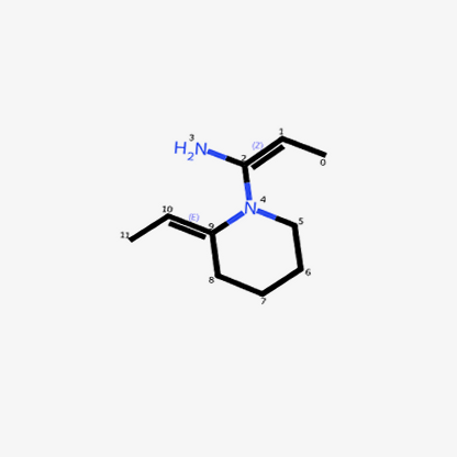 C/C=C(/N)N1CCCC/C1=C\C